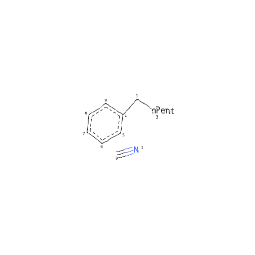 C#N.CCCCCCc1ccccc1